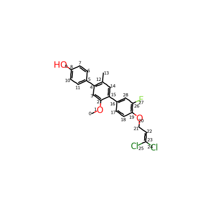 COc1cc(-c2ccc(O)cc2)c(C)cc1-c1ccc(OCC=C(Cl)Cl)c(F)c1